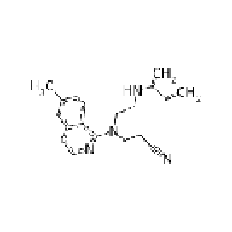 C=CC(=C)NCCN(CCC#N)c1nccc2cc(C)ccc12